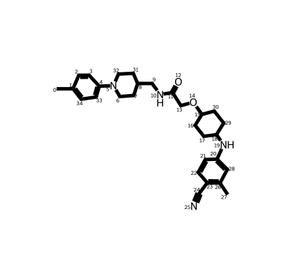 Cc1ccc(N2CCC(CNC(=O)COC3CCC(Nc4ccc(C#N)c(C)c4)CC3)CC2)cc1